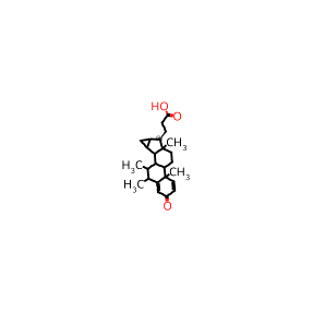 CC1C2=CC(=O)C=CC2(C)C2CCC3(C)C(C4CC4[C@H]3CCC(=O)O)C2C1C